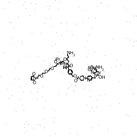 CCCCOc1nc(N)c2nc(O)n(Cc3ccc(N4CCN(C(=O)OCc5ccc(NC(=O)[C@H](CCCCN)NC(=O)[C@@H](NC(=O)CCOCCOCCOCCN6C(=O)C=CC6=O)C(C)C)cc5)CC4)nc3)c2n1